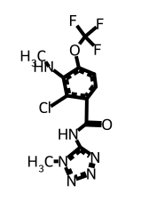 CNc1c(OC(F)(F)F)ccc(C(=O)Nc2nnnn2C)c1Cl